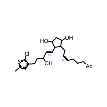 CC(=O)CCC/C=C\CC1C(O)CC(O)C1/C=C/C(O)CCc1cc(C)sc1Cl